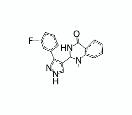 CN1c2ccccc2C(=O)NC1c1c[nH]nc1-c1cccc(F)c1